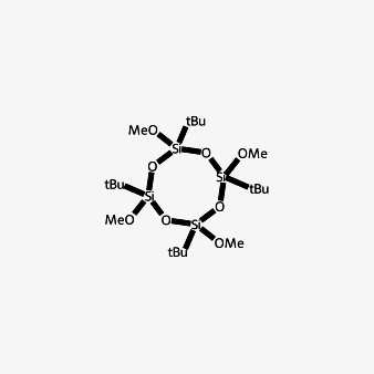 CO[Si]1(C(C)(C)C)O[Si](OC)(C(C)(C)C)O[Si](OC)(C(C)(C)C)O[Si](OC)(C(C)(C)C)O1